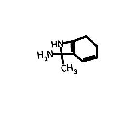 CC1(N)NC2=C1C=CCC2